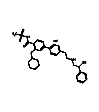 CS(=O)(=O)NC(=O)c1ccc(-c2ccc(CCNC[C@H](O)c3ccccc3)cc2)cc1CC1CCCCC1.Cl